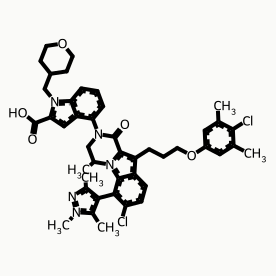 Cc1cc(OCCCc2c3n(c4c(-c5c(C)nn(C)c5C)c(Cl)ccc24)C(C)CN(c2cccc4c2cc(C(=O)O)n4CC2CCOCC2)C3=O)cc(C)c1Cl